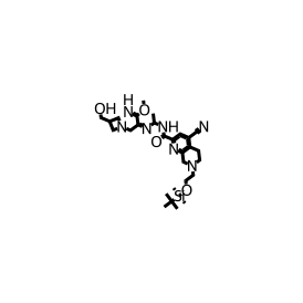 COC(=N)/C(CN1CC(CO)C1)=N\C(C)NC(=O)c1cc(C#N)c2c(n1)CN(CCO[Si](C)(C)C(C)(C)C)CC2